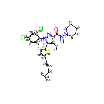 CCc1c(C(=O)NN2CCCCC2)nn(-c2ccc(Cl)cc2Cl)c1-c1ccc(C#CCC(C)C)s1